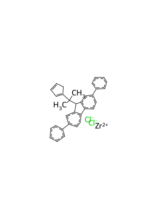 CC(C)(C1=CC=CC1)C1c2cc(-c3ccccc3)ccc2-c2ccc(-c3ccccc3)cc21.[Cl-].[Cl-].[Zr+2]